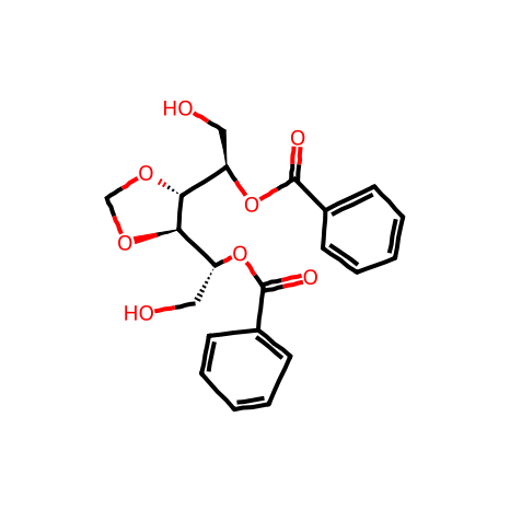 O=C(O[C@H](CO)[C@H]1OCO[C@@H]1[C@@H](CO)OC(=O)c1ccccc1)c1ccccc1